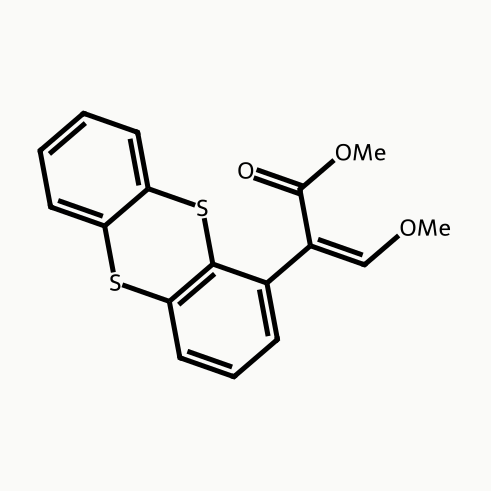 COC=C(C(=O)OC)c1cccc2c1Sc1ccccc1S2